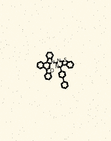 c1ccc(-c2ccc(-c3nc(-n4c5ccccc5c5c6ccccc6c6c7ccccc7oc6c54)nc4sc5ccccc5c34)cc2)cc1